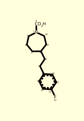 O=C(O)N1CCCC(CCc2ccc(F)cc2)CC1